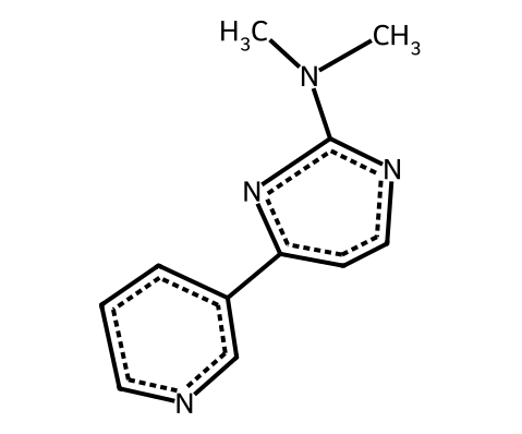 CN(C)c1nccc(-c2cccnc2)n1